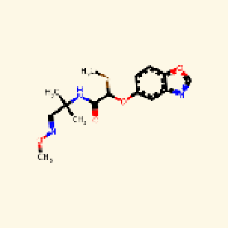 CON=CC(C)(C)NC(=O)C(Oc1ccc2ocnc2c1)SC